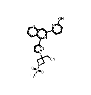 CS(=O)(=O)N1CC(CC#N)(n2ccc(-c3nc(-c4cccc(O)n4)cc4ncccc34)n2)C1